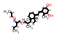 C=C1/C(=C\C=C2/CCC[C@]3(C)[C@@H]([C@H](C)COC/C(CCC)=N\OCCC)CC[C@@H]23)C[C@@H](O)C[C@@H]1O